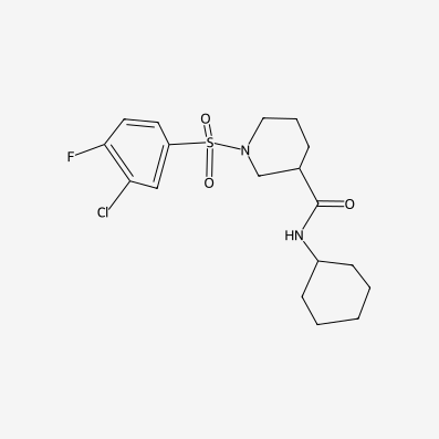 O=C(NC1CCCCC1)C1CCCN(S(=O)(=O)c2ccc(F)c(Cl)c2)C1